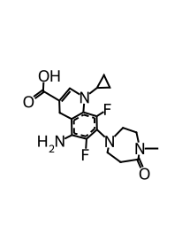 CN1CCN(c2c(F)c(N)c3c(c2F)N(C2CC2)C=C(C(=O)O)C3)CCC1=O